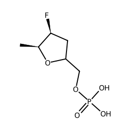 C[C@@H]1OC(COP(=O)(O)O)C[C@@H]1F